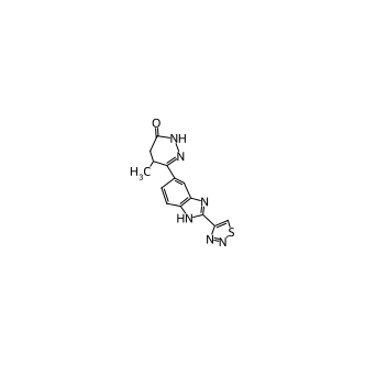 CC1CC(=O)NN=C1c1ccc2[nH]c(-c3csnn3)nc2c1